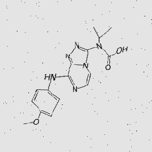 COc1ccc(Nc2nccn3c(N(C(=O)O)C(C)C)nnc23)cc1